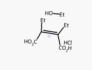 CC/C(C(=O)O)=C(\CC)C(=O)O.CCO.Cl